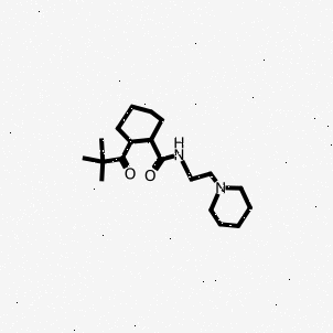 CC(C)(C)C(=O)C1CCCCC1C(=O)NCCN1CCCCC1